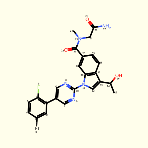 CCc1ccc(F)c(-c2cnc(-n3cc(C(C)O)c4ccc(C(=O)N(C)CC(N)=O)cc43)nc2)c1